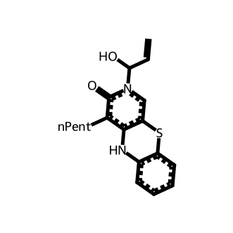 C=CC(O)n1cc2c(c(CCCCC)c1=O)Nc1ccccc1S2